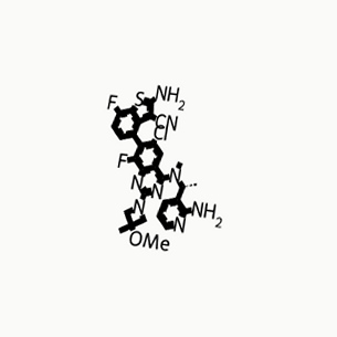 COC1(C)CN(c2nc(N(C)[C@H](C)c3cccnc3N)c3cc(Cl)c(-c4ccc(F)c5sc(N)c(C#N)c45)c(F)c3n2)C1